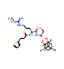 CC(C)C[C@H](NC(=O)[C@H](CCCNC(=N)N[N+](=O)[O-])NC(=O)CCc1cccs1)B1O[C@@H]2C[C@@H]3C[C@@H](C3(C)C)[C@]2(C)O1